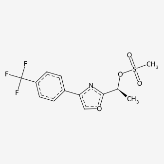 C[C@H](OS(C)(=O)=O)c1nc(-c2ccc(C(F)(F)F)cc2)co1